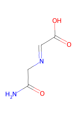 NC(=O)CN=CC(=O)O